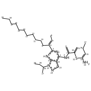 C=C(Nc1nc(/C(=C/C)CCCCCCCCCCC)nc2c1cnn2C(C)CC)C(=C)S/C(N)=C\CC